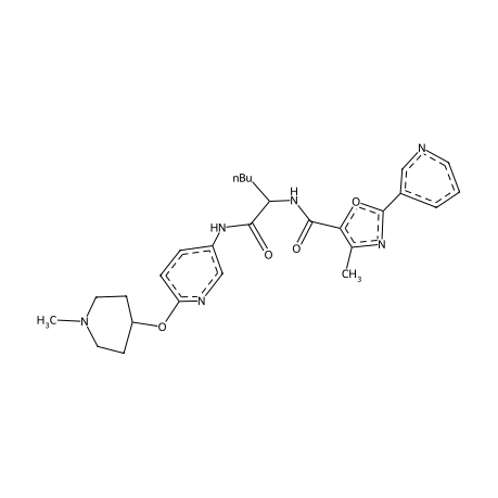 CCCCC(NC(=O)c1oc(-c2cccnc2)nc1C)C(=O)Nc1ccc(OC2CCN(C)CC2)nc1